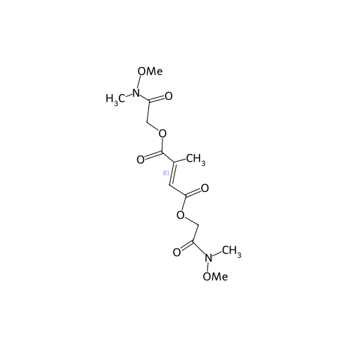 CON(C)C(=O)COC(=O)/C=C(\C)C(=O)OCC(=O)N(C)OC